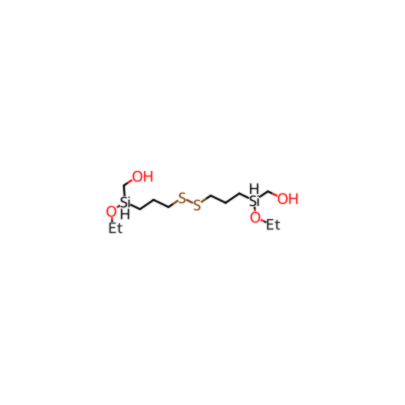 CCO[SiH](CO)CCCSSCCC[SiH](CO)OCC